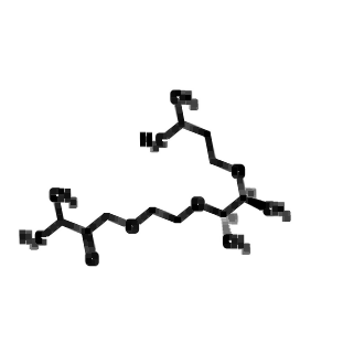 CC(C)CCO[C@@H](C)[C@H](C)OCCOCC(=O)C(C)C